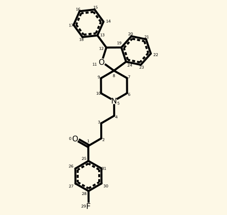 O=C(CCCN1CCC2(CC1)OC(c1ccccc1)c1ccccc12)c1ccc(F)cc1